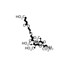 NC[C@H](NC(=O)[C@H](CC(=O)O)NC(=O)[C@H](CC(=O)O)[C@H](CC(=O)O)NC(=O)CCSSCCOC(=O)CCCC(=O)O)C(=O)O